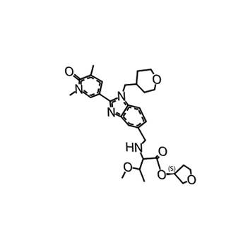 COC(C)C(NCc1ccc2c(c1)nc(-c1cc(C)c(=O)n(C)c1)n2CC1CCOCC1)C(=O)O[C@H]1CCOC1